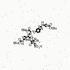 CC(C)(C)OC(=O)Nc1nc(/C(=N/O[C@@H](COc2ccc3nc(NC4CN(C(=O)OC(C)(C)C)C4)sc3c2)C(=O)OC(C)(C)C)C(=O)N[C@@H]2C(=O)N(OS(=O)(=O)O)C2(C)C)cs1